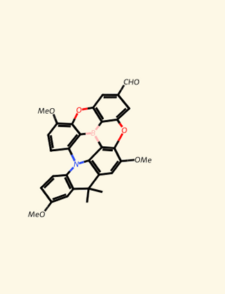 COc1ccc2c(c1)C(C)(C)c1cc(OC)c3c4c1N2c1ccc(OC)c2c1B4c1c(cc(C=O)cc1O3)O2